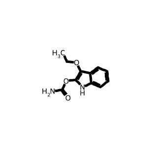 CCOc1c(OC(N)=O)[nH]c2ccccc12